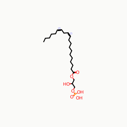 CCCCC/C=C\C/C=C\CCCCCCCCCC(=O)OCC(O)COP(=O)(O)O